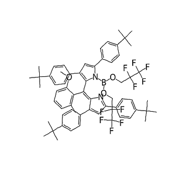 COc1cccc(C)c1/C(=C1/N=C(c2ccc(C(C)(C)C)cc2)C=C1c1ccc(C(C)(C)C)cc1)c1c(-c2ccc(C(C)(C)C)cc2)cc(-c2ccc(C(C)(C)C)cc2)n1B(OCC(F)(F)C(F)(F)F)OCC(F)(F)C(F)(F)F